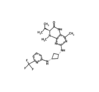 Cc1nc(N[C@H]2C[C@@H](Nc3cccc(C(F)(F)F)n3)C2)nc2c1NC(=O)[C@H](C(C)C)N2C